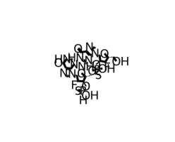 Nc1nc2c(ncn2[C@@H]2O[C@H](CO)[C@@H](F)[C@H]2OP(O)(=S)OC[C@H]2O[C@@H](n3cnc4c(=O)[nH]cnc43)[C@@H](F)[C@@H]2O[PH](O)=S)c(=O)[nH]1